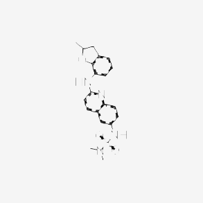 CC1Cc2cccc(Nc3ccc4cc(NS(=O)(=O)N(C)C)ccc4n3)c2O1